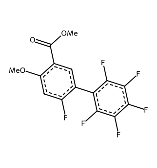 COC(=O)c1cc(-c2c(F)c(F)c(F)c(F)c2F)c(F)cc1OC